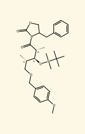 COc1ccc(COC[C@H](C)[C@H](O[Si](C)(C)C(C)(C)C)[C@@H](C)C(=O)N2C(=O)OCC2Cc2ccccc2)cc1